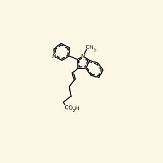 Cn1c(-c2cccnc2)c(C=CCCCC(=O)O)c2ccccc21